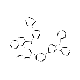 C\C=C/C=c1/oc2ccc(-c3ccc4c(c3)c3ccccc3n4-c3ccccc3)cc2/c1=C1\N=C(c2cccc(-c3ccccc3)c2)c2ccc3ccccc3c2N1C